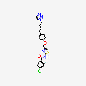 O=C(Nc1nc(COc2ccc(CCCCn3ccnn3)cc2)cs1)c1ccc(Cl)cc1F